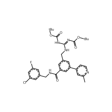 Cc1cc(-c2cc(CN/C(=N\C(=O)OC(C)(C)C)NC(=O)OC(C)(C)C)cc(C(=O)NCc3cc(F)cc(Cl)c3)c2)ccn1